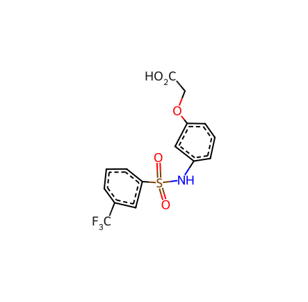 O=C(O)COc1cccc(NS(=O)(=O)c2cccc(C(F)(F)F)c2)c1